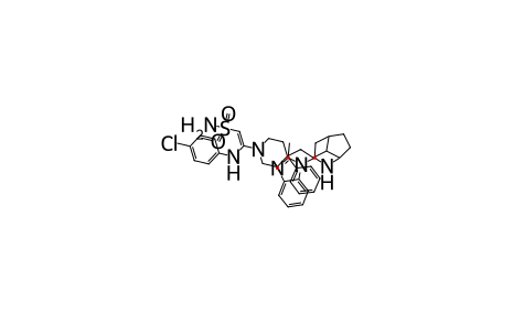 Cc1nc2ccccc2n1C1CC2CCC(N1)C2CCC1(c2ccccc2)CCN(/C(=C/S(N)(=O)=O)Nc2ccc(Cl)cc2)CC1